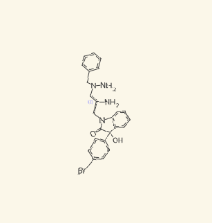 N/C(=C\N(N)Cc1ccccc1)CN1C(=O)C(O)(c2ccc(Br)cc2)c2ccccc21